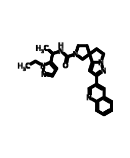 CCn1nccc1C(C)NC(=O)N1CCC2(CCn3nc(-c4cnc5ccccc5c4)cc32)C1